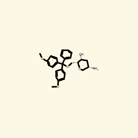 COc1ccc(C(OC[C@H]2OC[C@@H](N)C[C@H]2O)(c2ccccc2)c2ccc(OC)cc2)cc1